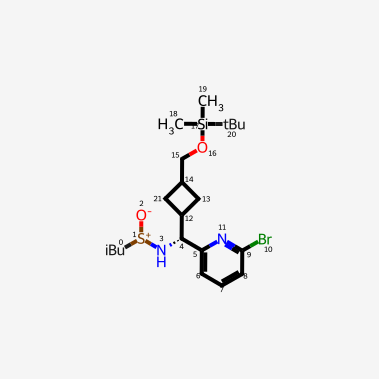 CCC(C)[S+]([O-])N[C@@H](c1cccc(Br)n1)C1CC(CO[Si](C)(C)C(C)(C)C)C1